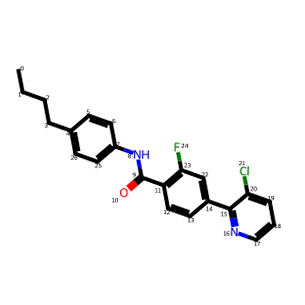 CCCCc1ccc(NC(=O)c2ccc(-c3ncccc3Cl)cc2F)cc1